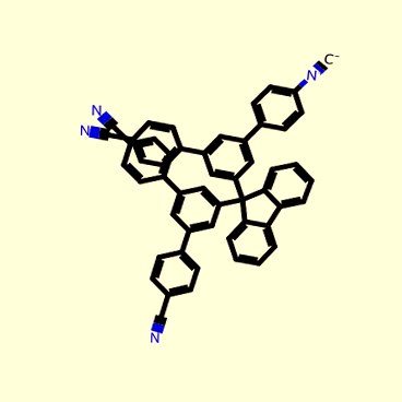 [C-]#[N+]c1ccc(-c2cc(-c3ccc(C#N)cc3)cc(C3(c4cc(-c5ccc(C#N)cc5)cc(-c5ccc(C#N)cc5)c4)c4ccccc4-c4ccccc43)c2)cc1